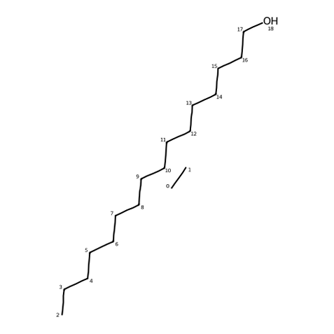 CC.CCCCCCCCCCCCCCCCO